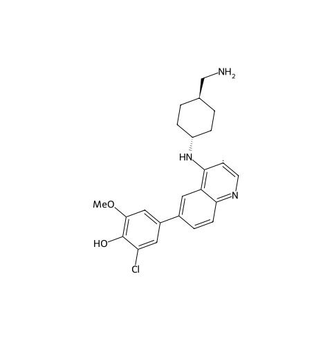 COc1cc(-c2ccc3nc[c]c(N[C@H]4CC[C@H](CN)CC4)c3c2)cc(Cl)c1O